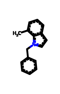 Cc1cccc2ccn(Cc3ccccc3)c12